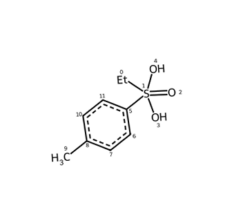 CCS(=O)(O)(O)c1ccc(C)cc1